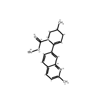 Cc1ccc2ccc(C3=CCC(C)CN3C(=O)OC(C)(C)C)cc2n1